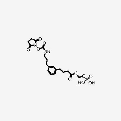 O=C(CCCc1cccc(CCCNC(=O)ON2C(=O)CCC2=O)c1)OCOP(=O)(O)O